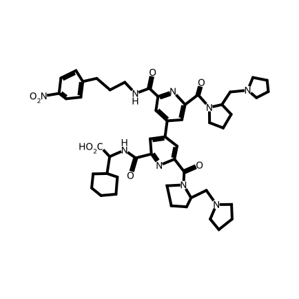 O=C(NCCCc1ccc([N+](=O)[O-])cc1)c1cc(-c2cc(C(=O)NC(C(=O)O)C3CCCCC3)nc(C(=O)N3CCCC3CN3CCCC3)c2)cc(C(=O)N2CCCC2CN2CCCC2)n1